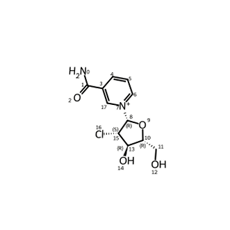 NC(=O)c1ccc[n+]([C@@H]2O[C@H](CO)[C@@H](O)[C@@H]2Cl)c1